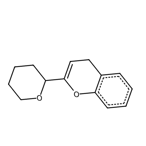 C1=C(C2CCCCO2)Oc2ccccc2C1